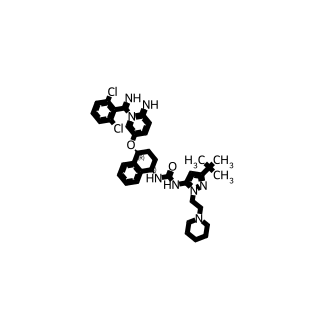 CC(C)(C)c1cc(NC(=O)N[C@H]2CC[C@@H](Oc3ccc(=N)n(C(=N)c4c(Cl)cccc4Cl)c3)c3ccccc32)n(CCN2CCCCC2)n1